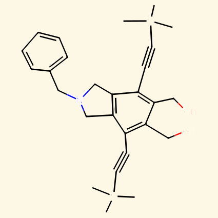 C[Si](C)(C)C#Cc1c(CO)c(CO)c(C#C[Si](C)(C)C)c2c1CN(Cc1ccccc1)C2